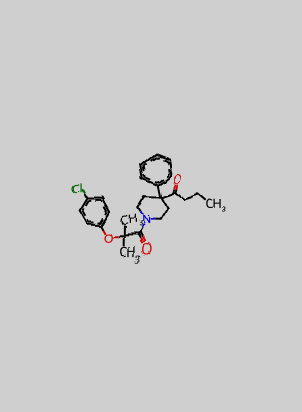 CCCC(=O)C1(c2ccccc2)CCN(C(=O)C(C)(C)Oc2ccc(Cl)cc2)CC1